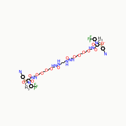 Cc1c([S+]([O-])c2ccc(C#N)cc2)cc(C(=O)NCCOCCOCCOCCOCCNC(=O)NCCCCNC(=O)NCCOCCOCCOCCOCCNC(=O)c2cc([S+]([O-])c3ccc(C#N)cc3)c(C)n(-c3cccc(C(F)(F)F)c3)c2=O)c(=O)n1-c1cccc(C(F)(F)F)c1